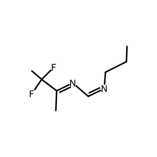 CCC/N=C\N=C(/C)C(C)(F)F